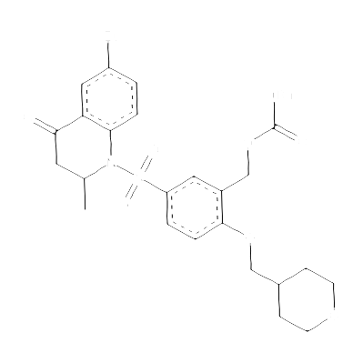 CCc1ccc2c(c1)C(=O)CC(C)N2S(=O)(=O)c1ccc(OCC2CCOCC2)c(COC(=O)C(C)(C)C)c1